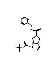 C=C[C@@H]1CN(C(=O)OCc2ccccc2)C[C@H]1NC(=O)OC(C)(C)C